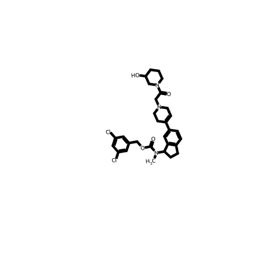 CN(C(=O)OCc1cc(Cl)cc(Cl)c1)C1CCc2ccc(C3=CCN(CC(=O)N4CCCC(O)C4)CC3)cc21